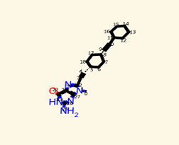 Cn1c(C#C[C@H]2CC[C@@H](C#CC3CCCCC3)CC2)nc2c(=O)[nH]c(N)nc21